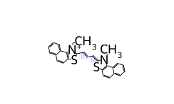 CCN1/C(=C/C=C/c2sc3ccc4ccccc4c3[n+]2CC)Sc2ccc3ccccc3c21